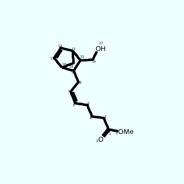 COC(=O)CCC/C=C\CC1C2C=CC(C2)C1CO